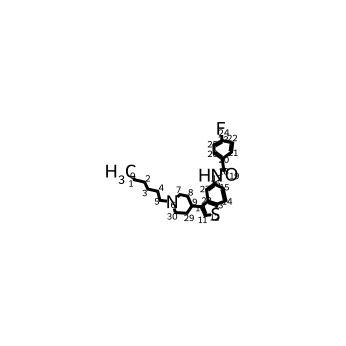 CCCCCCN1CCC(c2csc3ccc(NC(=O)c4ccc(F)cc4)cc23)CC1